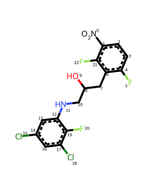 O=[N+]([O-])c1ccc(F)c(CC(O)CNc2cc(Cl)cc(Cl)c2F)c1F